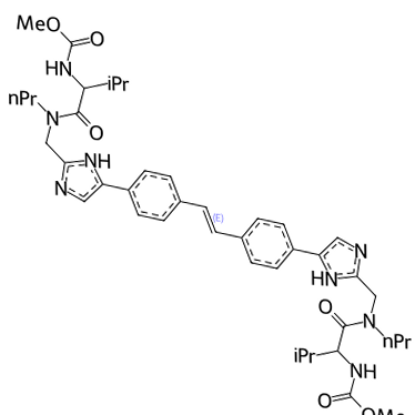 CCCN(Cc1ncc(-c2ccc(/C=C/c3ccc(-c4cnc(CN(CCC)C(=O)C(NC(=O)OC)C(C)C)[nH]4)cc3)cc2)[nH]1)C(=O)C(NC(=O)OC)C(C)C